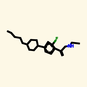 C=C(CNCC)c1ccc(C2CCC(CCCCC)CC2)cc1F